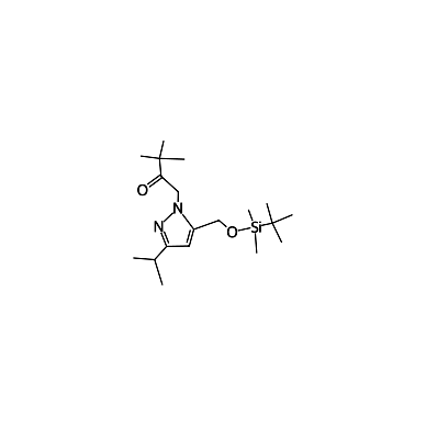 CC(C)c1cc(CO[Si](C)(C)C(C)(C)C)n(CC(=O)C(C)(C)C)n1